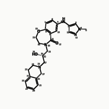 Cn1cc(Nc2ccc3c(c2)C(=O)N(C[C@@H](O)CN2CCc4ccccc4C2)CCO3)cn1